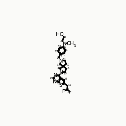 CN(CCO)c1ccc(CN2CCC3(CCN(c4ncnc5sc(CC(F)F)cc45)C3)C2)cc1